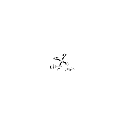 [Ba+2].[O-][Si]([O-])([O-])[O-].[Pb+2]